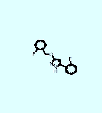 Fc1ccccc1COc1cc(-c2ccccc2F)[nH]n1